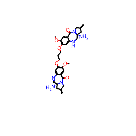 C=C1CN2C(=O)c3cc(OC)c(OCCCOc4cc5c(cc4OC)C(=O)N4CC(=C)C[C@@]4(N)C=N5)cc3NC[C@]2(N)C1